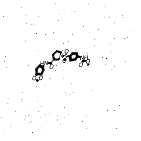 COC(=O)Nc1ccc(S(=O)(=O)N2CCC[C@H](C(=O)Nc3ccc4c(c3)OCO4)C2)cc1